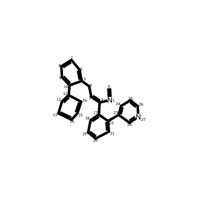 C=N/C(=C\Cc1ccccc1-c1ccccc1)c1ccccc1-c1cccnc1